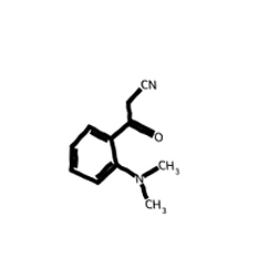 CN(C)c1ccccc1C(=O)CC#N